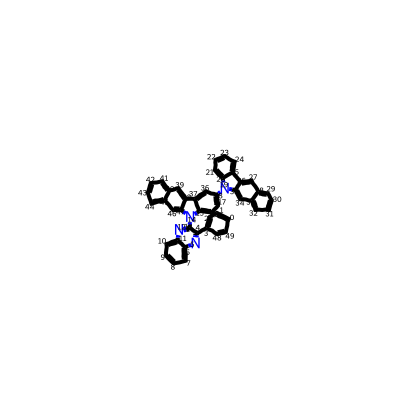 c1ccc(-c2nc3ccccc3nc2-n2c3ccc(-n4c5ccccc5c5cc6ccccc6cc54)cc3c3cc4ccccc4cc32)cc1